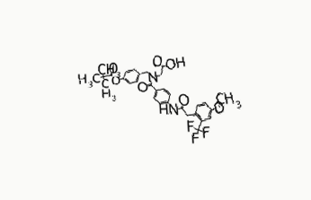 COc1ccc(CC(=O)Nc2ccc(C(=O)N(CC(=O)O)Cc3ccc(OC(=O)C(C)(C)C)cc3)cc2)c(C(F)(F)F)c1